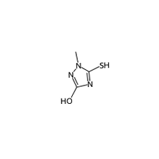 Cn1nc(O)nc1S